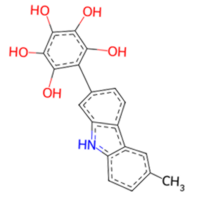 Cc1ccc2[nH]c3cc(-c4c(O)c(O)c(O)c(O)c4O)ccc3c2c1